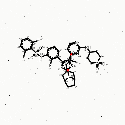 O=S1(=O)CCC(Nc2nccc(-c3sc(N4C5CCC4CN(CC(F)F)C5)nc3-c3cccc(NS(=O)(=O)c4c(F)cccc4F)c3F)n2)CC1